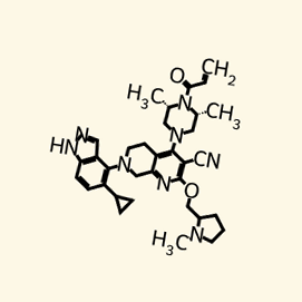 C=CC(=O)N1[C@H](C)CN(c2c(C#N)c(OCC3CCCN3C)nc3c2CCN(c2c(C4CC4)ccc4[nH]ncc24)C3)C[C@@H]1C